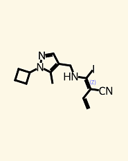 C=C/C(C#N)=C(/I)NCc1cnn(C2CCC2)c1C